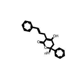 CCCC1(c2ccccc2)CC(O)=C(C/C=C/c2ccccc2)C(=O)O1